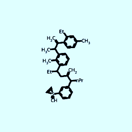 C#S1(c2cccc(C(CCC)C(=C)CC(CC)c3cccc(C(C)C(=C)c4ccc(C)cc4CC)c3C)c2)C=C1